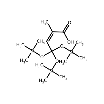 CC(=CC(O[Si](C)(C)C)(O[Si](C)(C)C)O[Si](C)(C)C)C(=O)O